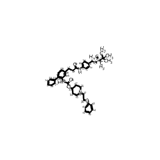 CC(C)(C)[Si](C)(C)OCc1ccc(NC(=O)CCc2ccc(-c3ccccc3)c(NC(=O)OC3CCN(CCOc4ccccc4)CC3)c2)cc1